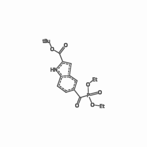 CCOP(=O)(OCC)C(=O)c1ccc2[nH]c(C(=O)OC(C)(C)C)cc2c1